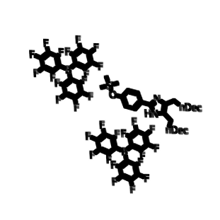 CCCCCCCCCCCc1nc(-c2ccc(O[Si](C)(C)C)cc2)[nH]c1CCCCCCCCCCC.Fc1c(F)c(F)c(B(c2c(F)c(F)c(F)c(F)c2F)c2c(F)c(F)c(F)c(F)c2F)c(F)c1F.Fc1c(F)c(F)c(B(c2c(F)c(F)c(F)c(F)c2F)c2c(F)c(F)c(F)c(F)c2F)c(F)c1F